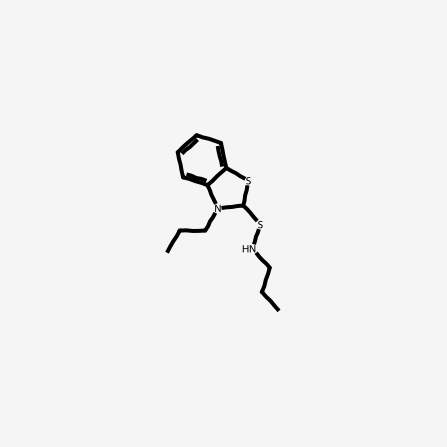 CCCNSC1Sc2ccccc2N1CCC